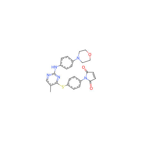 Cc1cnc(Nc2ccc(N3CCOCC3)cc2)nc1Sc1ccc(N2C(=O)C=CC2=O)cc1